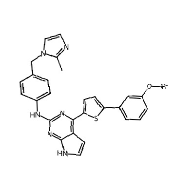 Cc1nccn1Cc1ccc(Nc2nc(-c3ccc(-c4cccc(OC(C)C)c4)s3)c3cc[nH]c3n2)cc1